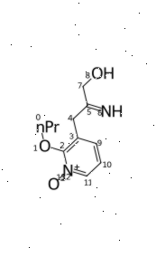 CCCOc1c(CC(=N)CO)ccc[n+]1[O-]